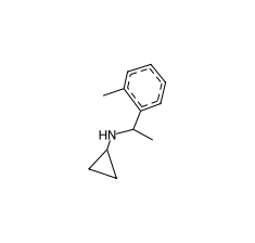 Cc1ccccc1C(C)NC1CC1